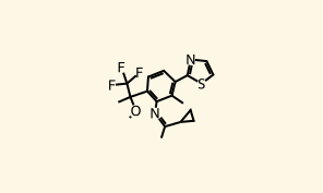 COC(C)(c1ccc(-c2nccs2)c(C)c1/N=C(/C)C1CC1)C(F)(F)F